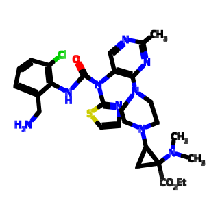 CCOC(=O)C1(N(C)C)CC1N1CCN(c2nc(C)ncc2N(C(=O)Nc2c(Cl)cccc2CN)c2nccs2)CC1